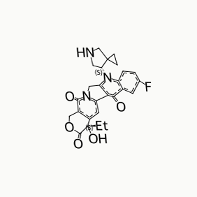 CC[C@@]1(O)C(=O)OCc2c1cc1n(c2=O)Cc2c-1c(=O)c1cc(F)ccc1n2[C@@H]1CNCC12CC2